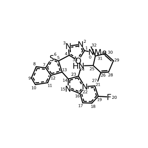 CNc1nnc(-c2sc3ccccc3c2-c2nc3ccc(F)cn3c2NC2C(C)=CC=CC2C)o1